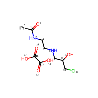 CC(C)C(=O)NCCNCC(O)CCl.O=C(O)C(=O)O